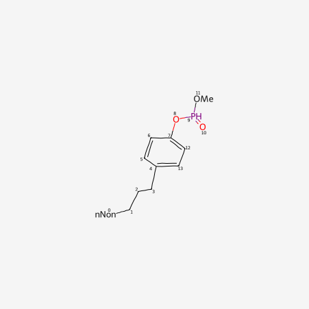 CCCCCCCCCCCCc1ccc(O[PH](=O)OC)cc1